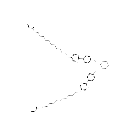 C=CC(=O)OCCCCCCCCCCCOc1cnc(-c2ccc(CO[C@@H]3CCCC[C@H]3OCc3ccc(-c4ncc(OCCCCCCCCCCCOC(=O)C=C)cn4)cc3)cc2)nc1